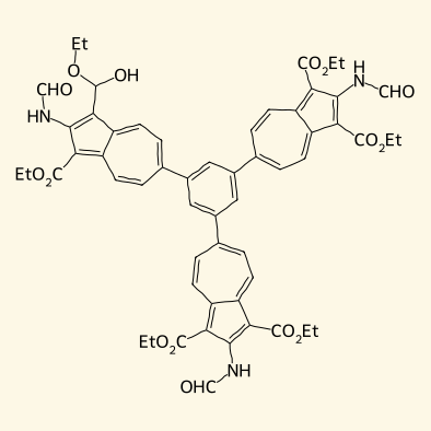 CCOC(=O)c1c2ccc(-c3cc(-c4ccc5c(C(=O)OCC)c(NC=O)c(C(=O)OCC)c-5cc4)cc(-c4ccc5c(C(=O)OCC)c(NC=O)c(C(O)OCC)c-5cc4)c3)ccc-2c(C(=O)OCC)c1NC=O